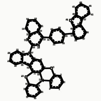 c1ccc2c(c1)Oc1cc3c(c4c1N2c1ccccc1O4)c1ccccc1n3-c1nc(-c2ccc(-c3cccc4c3oc3ccccc34)cc2)c2ccccc2n1